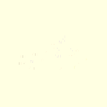 CC(C)N(CCOc1ccc(C(=O)Nc2n[nH]c3c2CN(S(=O)(=O)c2cc(F)cc(F)c2)CC3)c(NC2CCOCC2)c1)C(C)C